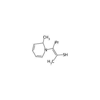 C/C(S)=C(/C(C)C)N1C=CC=CC1C